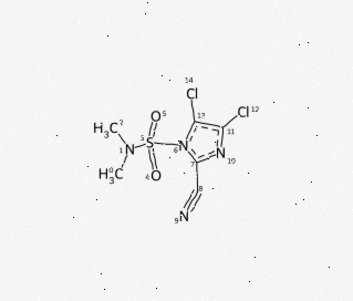 CN(C)S(=O)(=O)n1c(C#N)nc(Cl)c1Cl